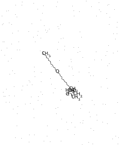 C=CC(=O)O.CC=CC(=O)O.CCCCCCCCCCCCOCCCCCCCCCCCC